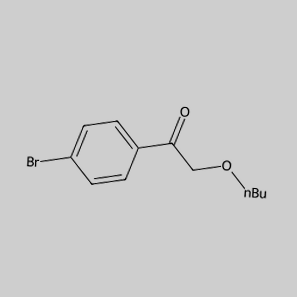 CCCCOCC(=O)c1ccc(Br)cc1